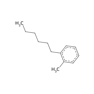 [CH2]CCCCCc1ccccc1C